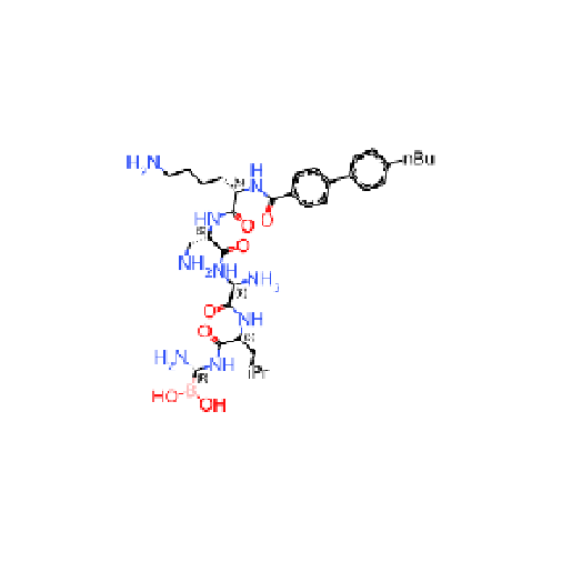 CCCCc1ccc(-c2ccc(C(=O)N[C@@H](CCCCN)C(=O)N[C@@H](CN)C(=O)N[C@@H](N)C(=O)N[C@@H](CC(C)C)C(=O)N[C@@H](N)B(O)O)cc2)cc1